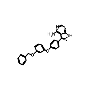 Nc1ncnc2[nH]nc(-c3ccc(Oc4cccc(OCc5ccccc5)c4)cc3)c12